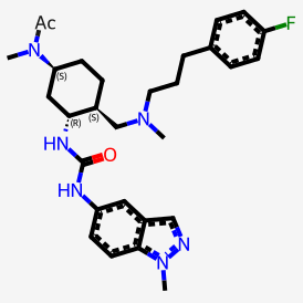 CC(=O)N(C)[C@H]1CC[C@@H](CN(C)CCCc2ccc(F)cc2)[C@H](NC(=O)Nc2ccc3c(cnn3C)c2)C1